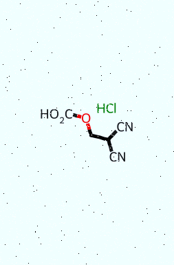 Cl.N#CC(C#N)COC(=O)O